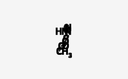 CCCOC(=O)COc1ccc(-c2nc3ncccc3[nH]2)cc1